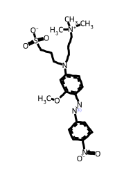 COc1cc(N(CCC[N+](C)(C)C)CCCS(=O)(=O)[O-])ccc1/N=N/c1ccc([N+](=O)[O-])cc1